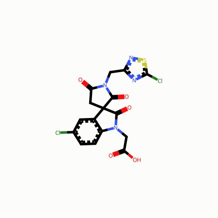 O=C(O)CN1C(=O)C2(CC(=O)N(Cc3nsc(Cl)n3)C2=O)c2cc(Cl)ccc21